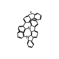 c1ccc(-n2c3ccccc3c3ccc4c5ccccc5n(-c5ccccc5-c5ccc6sc7ccccc7c6c5)c4c32)cc1